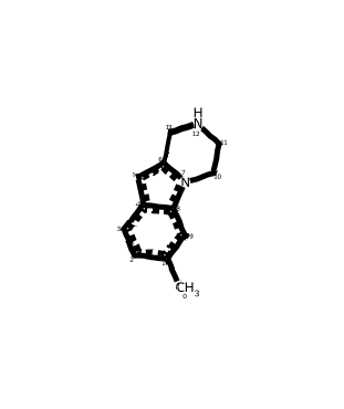 Cc1ccc2cc3n(c2c1)CCNC3